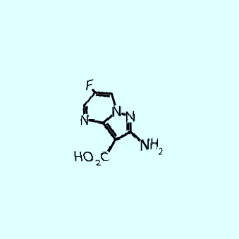 Nc1nn2cc(F)cnc2c1C(=O)O